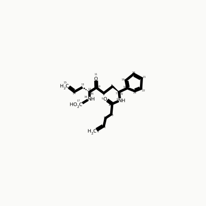 C=CCCC(=O)N[C@@H](CCC(=O)[C@@H](CC=C)NC(=O)O)c1ccccc1